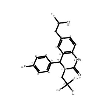 O=C1Nc2ccc(CC(F)Cl)cc2C(c2ccc(F)cc2)N1CC(F)(F)F